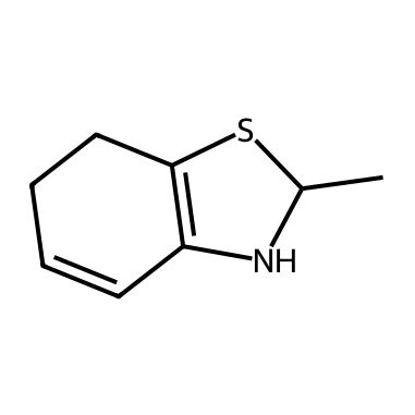 CC1NC2=C(CCC=C2)S1